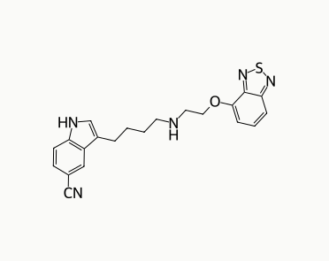 N#Cc1ccc2[nH]cc(CCCCNCCOc3cccc4nsnc34)c2c1